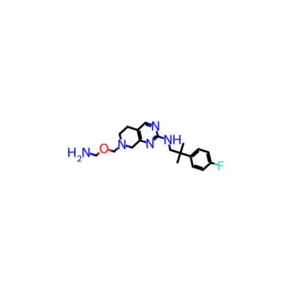 CC(C)(CNc1ncc2c(n1)CN(COCN)CC2)c1ccc(F)cc1